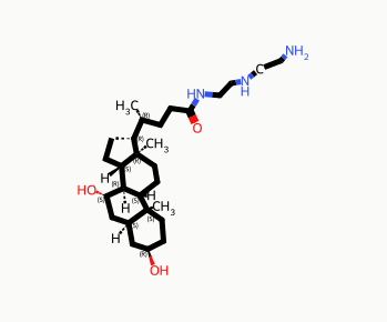 C[C@H](CCC(=O)NCCNCCN)[C@H]1CC[C@H]2[C@@H]3[C@@H](O)C[C@@H]4C[C@H](O)CC[C@]4(C)[C@H]3CC[C@]12C